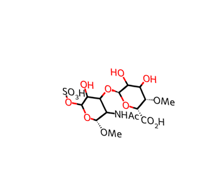 CO[C@@H]1OC(OS(=O)(=O)O)C(O)C(O[C@@H]2O[C@@H](C(=O)O)[C@@H](OC)C(O)C2O)C1NC(C)=O